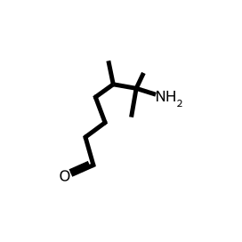 CC(CCCC=O)C(C)(C)N